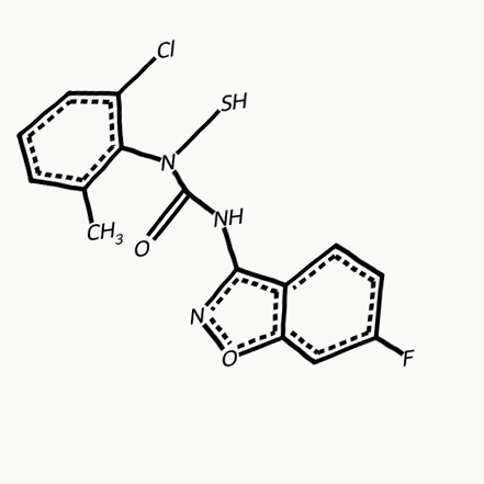 Cc1cccc(Cl)c1N(S)C(=O)Nc1noc2cc(F)ccc12